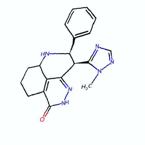 Cn1ncnc1[C@H]1c2n[nH]c(=O)c3c2C(CCC3)N[C@H]1c1ccccc1